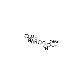 COc1cc2c(Oc3ccc(NC(=O)c4c(C)n(C)n(-c5ccccc5)c4=O)cc3)ccnc2cc1O